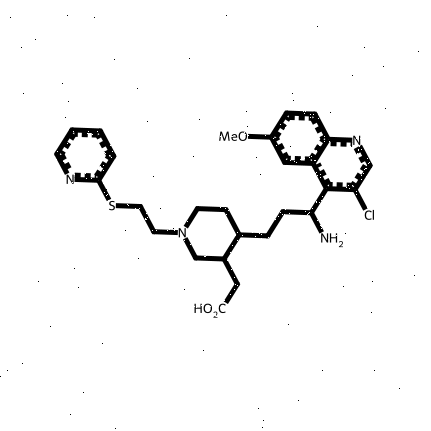 COc1ccc2ncc(Cl)c(C(N)CCC3CCN(CCSc4ccccn4)CC3CC(=O)O)c2c1